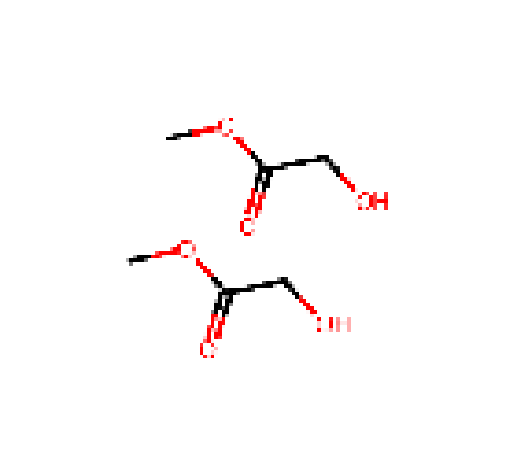 COC(=O)CO.COC(=O)CO